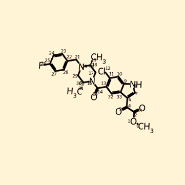 COC(=O)C(=O)c1c[nH]c2cc(Cl)c(C(=O)N3C[C@H](C)N(Cc4ccc(F)cc4)C[C@H]3C)cc12